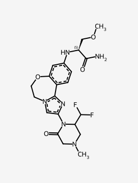 COC[C@H](Nc1ccc2c(c1)OCCn1cc(N3C(=O)CN(C)CC3C(F)F)nc1-2)C(N)=O